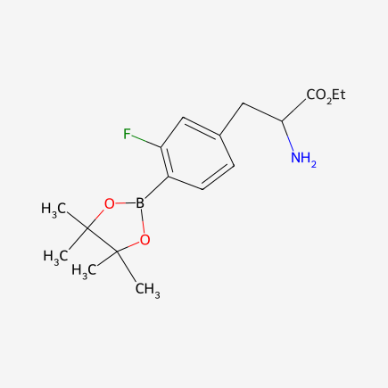 CCOC(=O)C(N)Cc1ccc(B2OC(C)(C)C(C)(C)O2)c(F)c1